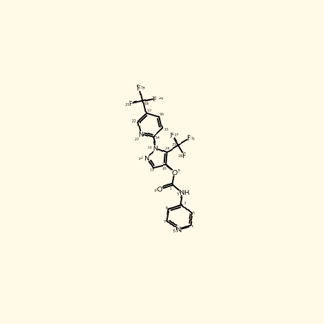 O=C(Nc1ccncc1)Oc1cnn(-c2ccc(C(F)(F)F)cn2)c1C(F)(F)F